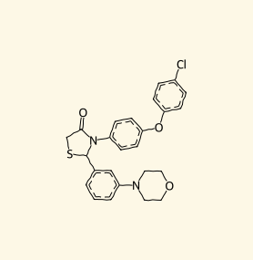 O=C1CSC(c2cccc(N3CCOCC3)c2)N1c1ccc(Oc2ccc(Cl)cc2)cc1